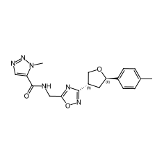 Cc1ccc([C@H]2C[C@H](c3noc(CNC(=O)c4cnnn4C)n3)CO2)cc1